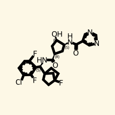 O=C(N[C@H]1C[C@@H](C(=O)N[C@H](c2c(F)ccc(Cl)c2F)C23CCC(F)(CC2)C3)C[C@H]1O)c1cncnc1